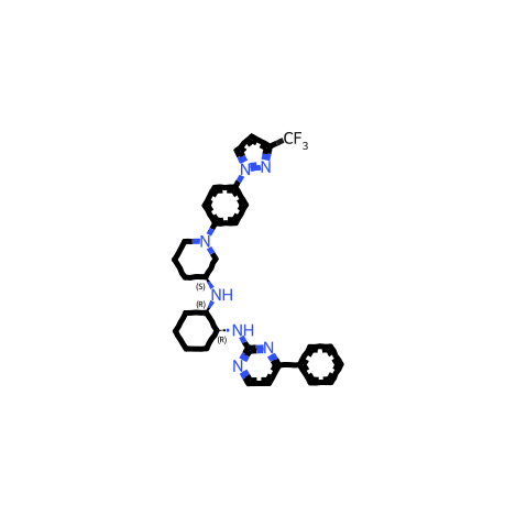 FC(F)(F)c1ccn(-c2ccc(N3CCC[C@H](N[C@@H]4CCCC[C@H]4Nc4nccc(-c5ccccc5)n4)C3)cc2)n1